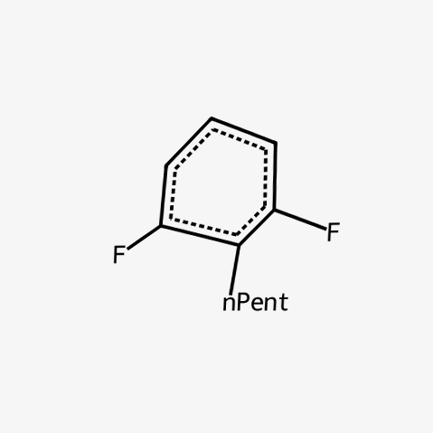 CCCCCc1c(F)cccc1F